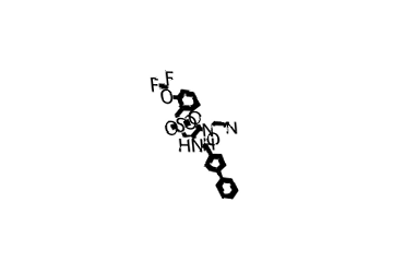 N#CCNC(=O)[C@H](CS(=O)(=O)Cc1ccccc1OC(F)F)NC(=O)c1ccc(-c2ccccc2)cc1